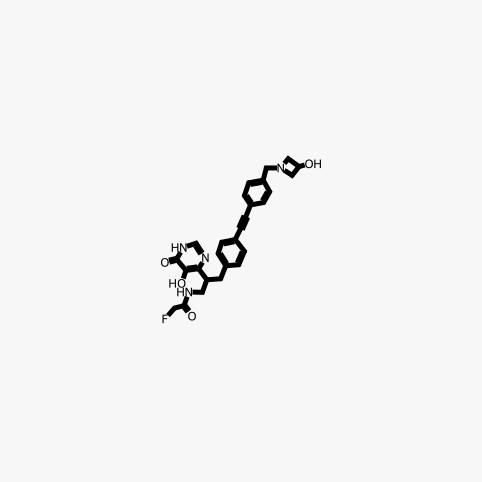 O=C(CF)NCC(Cc1ccc(C#Cc2ccc(CN3CC(O)C3)cc2)cc1)c1nc[nH]c(=O)c1O